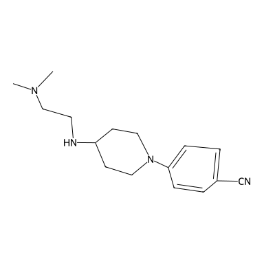 CN(C)CCNC1CCN(c2ccc(C#N)cc2)CC1